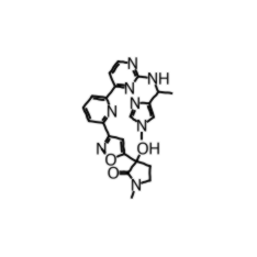 CC(Nc1nccc(-c2cccc(-c3cc(C4(O)CCN(C)C4=O)on3)n2)n1)c1cn(C)cn1